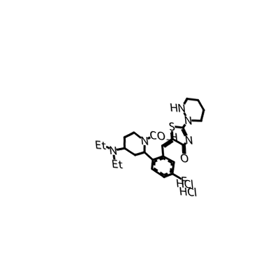 CCN(CC)C1CCN(C(=O)O)C(c2ccc(F)cc2C=C2SC(N3CCCCN3)=NC2=O)C1.Cl.Cl